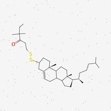 CCC(C)(C)C(=O)CCSS[C@H]1CC[C@@]2(C)C(=CCC3C2CC[C@@]2(C)C3CC[C@@H]2[C@H](C)CCCC(C)C)C1